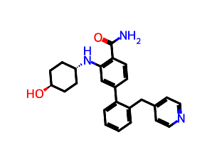 NC(=O)c1ccc(-c2ccccc2Cc2ccncc2)cc1N[C@H]1CC[C@H](O)CC1